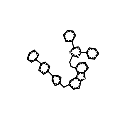 c1ccc(-c2ccc(-c3ccc(Cc4ccc5oc6cccc(CCc7nc(-c8ccccc8)nc(-c8ccccc8)n7)c6c5c4)cc3)cc2)cc1